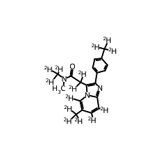 [2H]c1c(C([2H])([2H])[2H])c([2H])n2c(C([2H])([2H])C(=O)N(C)C([2H])([2H])[2H])c(-c3ccc(C([2H])([2H])[2H])cc3)nc2c1[2H]